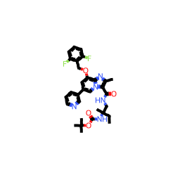 CCC(C)(CNC(=O)c1c(C)nc2c(OCc3c(F)cccc3F)cc(-c3cccnc3)cn12)NC(=O)OC(C)(C)C